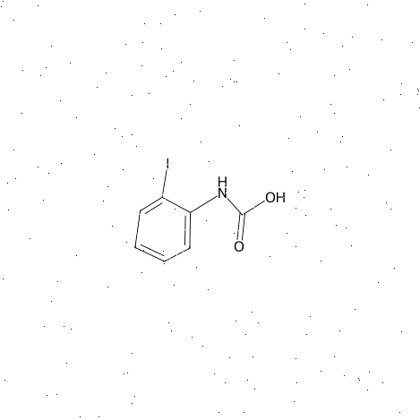 O=C(O)Nc1ccccc1I